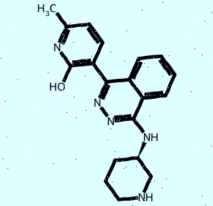 Cc1ccc(-c2nnc(N[C@@H]3CCCNC3)c3ccccc23)c(O)n1